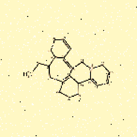 CCC1CC2=C3C(=C4C=CCCC41)CN1CC=CC=C1C3CCC2